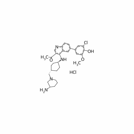 COc1cc(-c2ccc3ncc(C(C)=O)c(N[C@H]4CC[C@H](CN5CCCC(N)C5)CC4)c3c2)cc(Cl)c1O.Cl